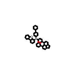 C1=Cc2ccc(-c3ccc(N(c4ccc(-c5ccccc5)cc4)c4cccc5c4oc4ccccc45)cc3)c3c(-c4ccccc4)ccc1c23